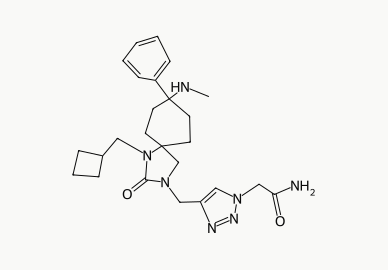 CNC1(c2ccccc2)CCC2(CC1)CN(Cc1cn(CC(N)=O)nn1)C(=O)N2CC1CCC1